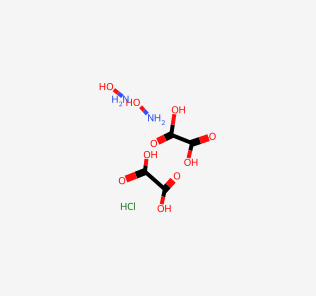 Cl.NO.NO.O=C(O)C(=O)O.O=C(O)C(=O)O